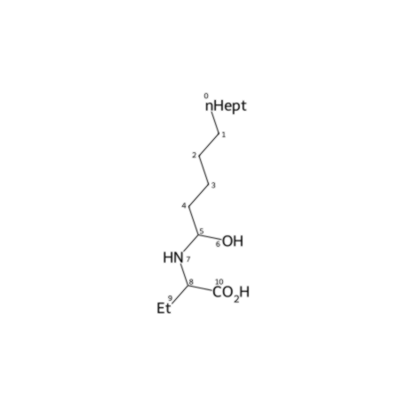 CCCCCCCCCCCC(O)NC(CC)C(=O)O